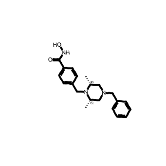 C[C@@H]1CN(Cc2ccccc2)C[C@H](C)N1Cc1ccc(C(=O)NO)cc1